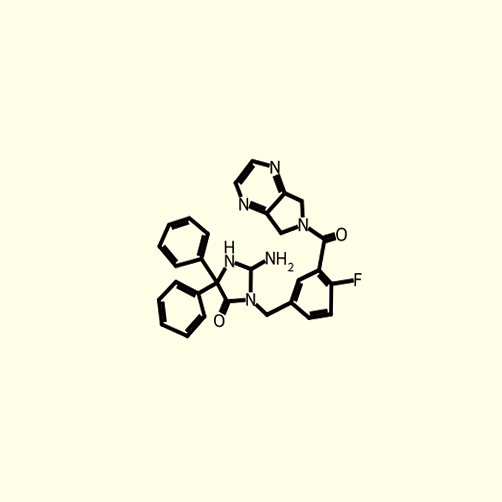 NC1NC(c2ccccc2)(c2ccccc2)C(=O)N1Cc1ccc(F)c(C(=O)N2Cc3nccnc3C2)c1